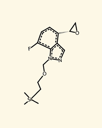 C[Si](C)(C)CCOCn1ncc2c([C@@H]3CO3)ccc(F)c21